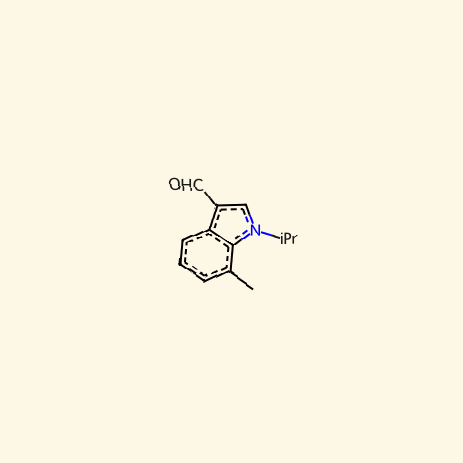 Cc1cccc2c(C=O)cn(C(C)C)c12